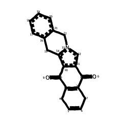 O=C1C2=C(CC=CC2)C(=O)c2c1cn1c2Cc2ccccc2C1